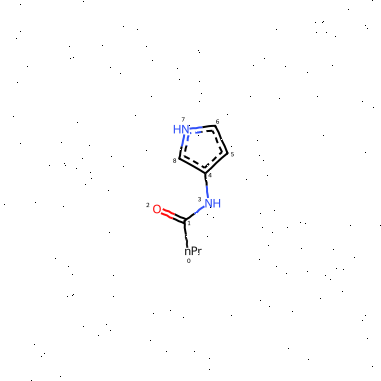 CCCC(=O)Nc1cc[nH]c1